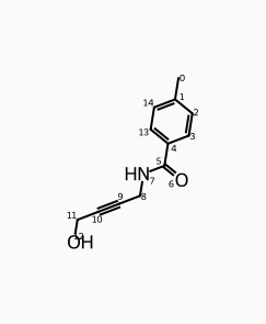 Cc1ccc(C(=O)NCC#CCO)cc1